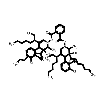 CCCCCCC(C)C1(C)C(c2cccc(Cl)c2C#N)C(C(CC)CCCCC)=CN(OC(=O)c2ccccc2C(=O)ON2C=C(C(CC)CCCCC)C(c3cccc(Cl)c3C#N)C(C)(C(C)CCCCCC)C2C)C1C